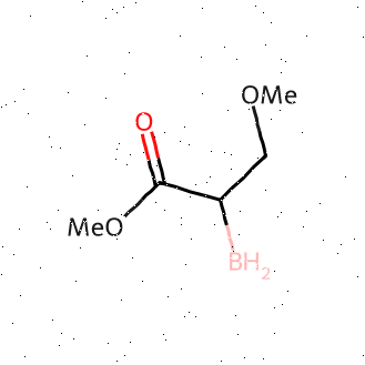 BC(COC)C(=O)OC